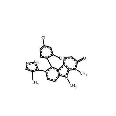 Cc1cn[nH]c1-c1ccc2c(c1-c1ccc(Cl)cc1Cl)c1ccc(=O)n(C)c1n2C